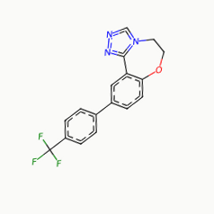 FC(F)(F)c1ccc(-c2ccc3c(c2)-c2nncn2CCO3)cc1